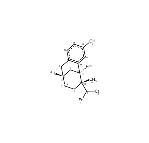 CCC(CC)[C@]1(C)CN[C@@H]2Cc3ccc(O)cc3[C@@H]1C2